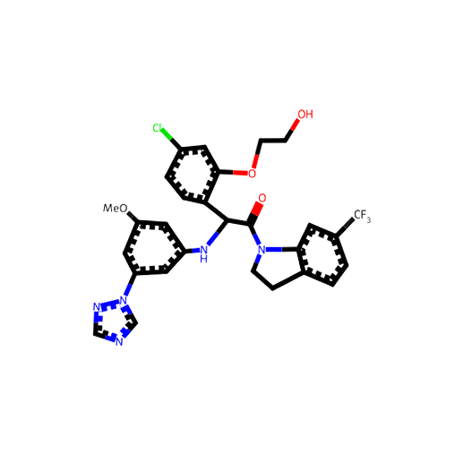 COc1cc(NC(C(=O)N2CCc3ccc(C(F)(F)F)cc32)c2ccc(Cl)cc2OCCO)cc(-n2cncn2)c1